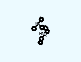 C1=c2ccccc2=CC(C2Nc3c(ccc4ccc5cc(N6C(c7ccccc7)=NC6c6ccccc6)ccc5c34)S2)C1